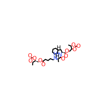 CC(NCCCCC(=O)OC[C@@H]1OC(=O)OC1C)C(=O)N1[C@H](C(=O)OCC2OC(=O)OC2C)C[C@@H]2CCCC[C@@H]21